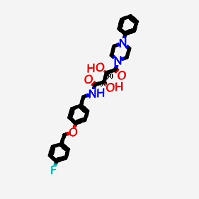 O=C(NCc1ccc(OCc2ccc(F)cc2)cc1)[C@H](O)[C@@H](O)C(=O)N1CCN(c2ccccc2)CC1